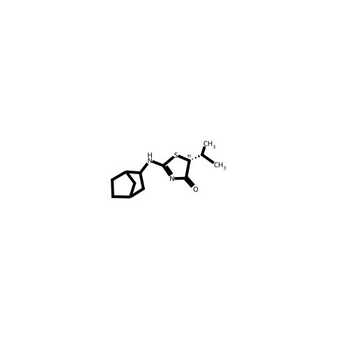 CC(C)[C@H]1SC(NC2CC3CCC2C3)=NC1=O